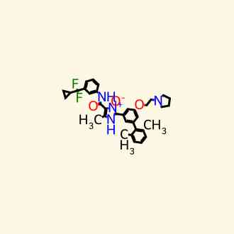 Cc1cccc(C)c1-c1cc(OCCN2CCCC2)cc(-c2[nH]c(C)c(C(=O)Nc3cccc(C(F)(F)C4CC4)c3)[n+]2[O-])c1